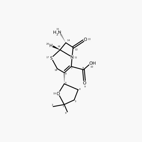 CC1(C)CC[C@@H](C2=C(C(=O)O)N3C(=O)[C@@H](N)[C@H]3SC2)O1